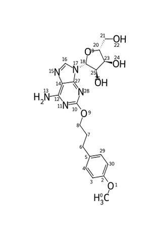 COc1ccc(CCCOc2nc(N)c3ncn([C@@H]4O[C@H](CO)[C@@H](O)[C@H]4O)c3n2)cc1